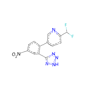 O=[N+]([O-])c1ccc(-c2ccc(C(F)F)nc2)c(-c2nn[nH]n2)c1